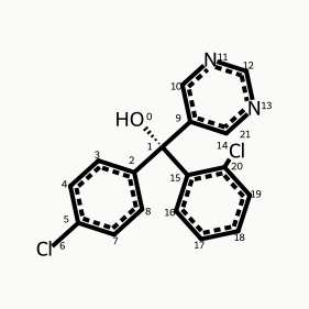 O[C@](c1ccc(Cl)cc1)(c1cncnc1)c1ccccc1Cl